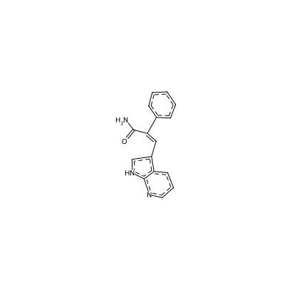 NC(=O)C(=Cc1c[nH]c2n[c]ccc12)c1ccccc1